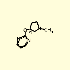 CN1CC[C@H](Oc2ncccn2)C1